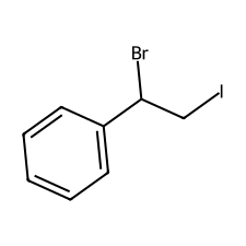 BrC(CI)c1ccccc1